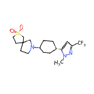 Cn1nc(C(F)(F)F)cc1[C@H]1CC[C@H](N2CCC3(CCS(=O)(=O)C3)C2)CC1